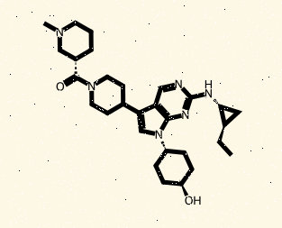 CC[C@@H]1C[C@H]1Nc1ncc2c(C3CCN(C(=O)[C@H]4CCCN(C)C4)CC3)cn([C@H]3CC[C@H](O)CC3)c2n1